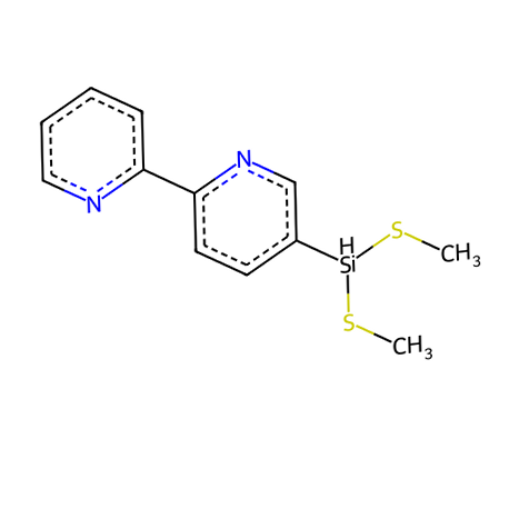 CS[SiH](SC)c1ccc(-c2ccccn2)nc1